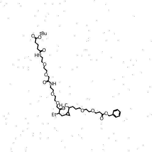 CCC(CC1CC1C(C)CCCOCCOCCC(=O)OCc1ccccc1)C(=O)COCCOCCNC(=O)COCCOCCNC(=O)CCCC(=O)OC(C)(C)C